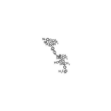 Cc1ncsc1-c1ccc([C@H](C)NC(=O)C2C[C@@H](O)CN2C(=O)C(NC(=O)CCCN2CCN(c3ccc(C(=O)N[C@H]4C(C)(C)[C@H](Oc5ccc(C#N)c(Cl)c5)C4(C)C)cn3)CC2)C(C)(C)C)cc1